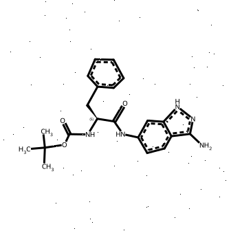 CC(C)(C)OC(=O)N[C@@H](Cc1ccccc1)C(=O)Nc1ccc2c(N)n[nH]c2c1